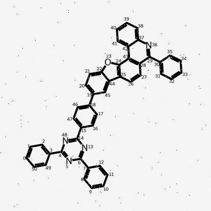 c1ccc(-c2nc(-c3ccccc3)nc(-c3ccc(-c4ccc5oc6c(ccc7c(-c8ccccc8)nc8ccccc8c76)c5c4)cc3)n2)cc1